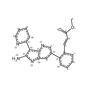 COC(=O)/C=C/c1ccccc1-c1cnc2c(-c3ccccn3)c(N)nn2c1